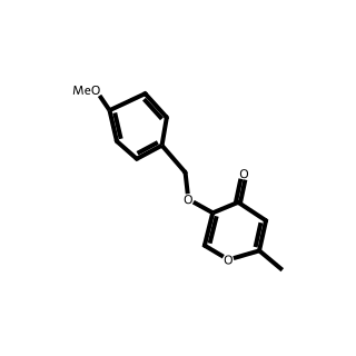 COc1ccc(COc2coc(C)cc2=O)cc1